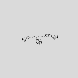 O=C(O)CCC(O)CCC(F)(F)F